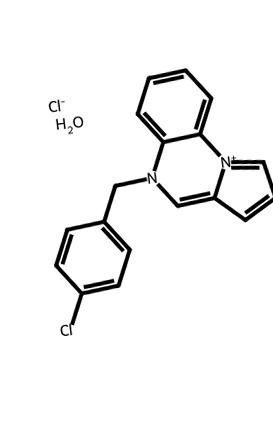 Clc1ccc(Cn2cc3ccc[n+]-3c3ccccc32)cc1.O.[Cl-]